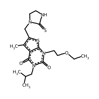 CCOCCn1c(=O)n(CC(C)C)c(=O)c2c(C)c(CN3CCNC3=S)sc21